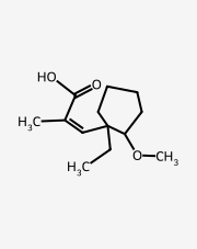 CCC1(C=C(C)C(=O)O)CCCCC1OC